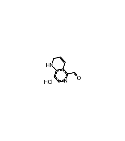 Cl.O=Cc1nccc2c1C=CCN2